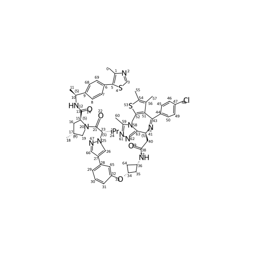 Cc1ncsc1-c1ccc([C@H](C)NC(=O)[C@@H]2C[C@@H](C)CN2C(=O)[C@H](C(C)C)n2cc(-c3cccc(O[C@H]4C[C@@H](NC(=O)C[C@@H]5N=C(c6ccc(Cl)cc6)c6c(sc(C)c6C)-n6c(C)nnc65)C4)c3)cn2)cc1